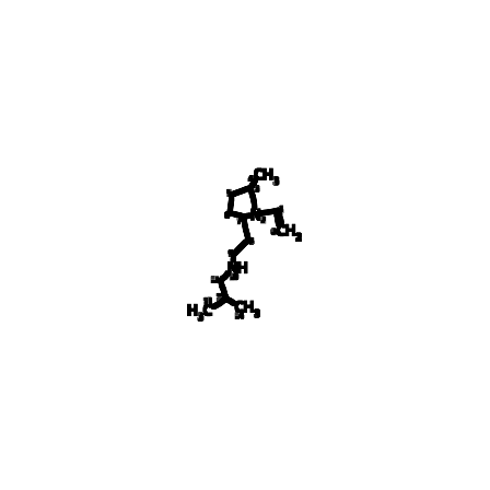 C=CN1C(C)CCC1CCNCC(C)C